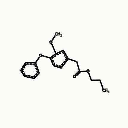 CCCOC(=O)Cc1ccc(Oc2ccccc2)c(OC)c1